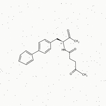 CC(=O)CCC(=O)N[C@@H](Cc1ccc(-c2ccccc2)cc1)C(C)=O